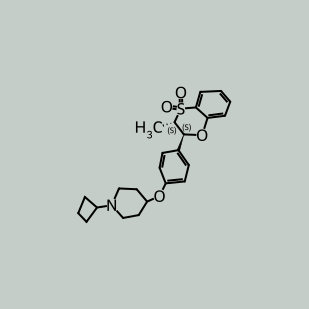 C[C@H]1[C@H](c2ccc(OC3CCN(C4CCC4)CC3)cc2)Oc2ccccc2S1(=O)=O